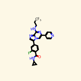 O=C(NC1CC1)c1ccc(-c2cnc3c(NCCC(F)(F)F)nc(-c4ccncc4)cn23)cc1F